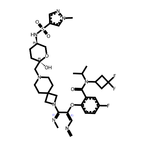 C=N/C=C(Oc1ccc(F)cc1C(=O)N(C(C)C)C1CC(F)(F)C1)\C(=N/C)N1CC2(CCN(C[C@@]3(O)CC[C@@H](NS(=O)(=O)c4cnn(C)c4)CO3)CC2)C1